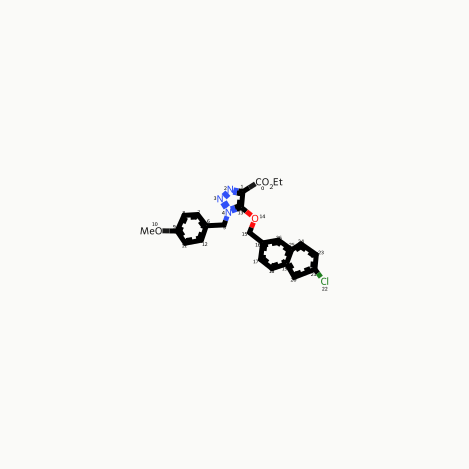 CCOC(=O)c1nnn(Cc2ccc(OC)cc2)c1OCc1ccc2cc(Cl)ccc2c1